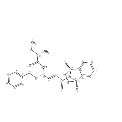 CC[C@H](N)C(=O)N[C@H](/C=C/C(=O)N1[C@@H]2CC[C@H]1c1ccccc12)CCc1ccccc1